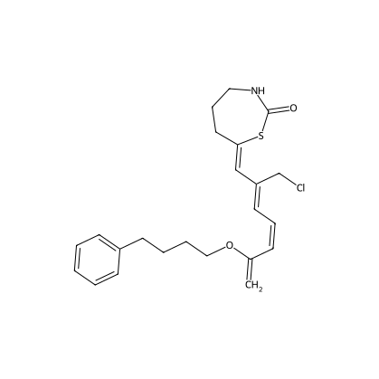 C=C(\C=C/C=C(/C=C1/CCCNC(=O)S1)CCl)OCCCCc1ccccc1